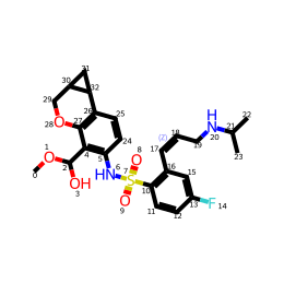 COC(O)c1c(NS(=O)(=O)c2ccc(F)cc2/C=C\CNC(C)C)ccc2c1OCC1CC21